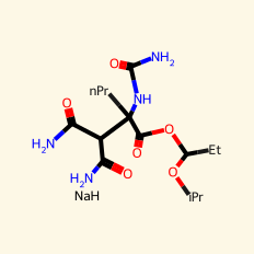 CCCC(NC(N)=O)(C(=O)OC(CC)OC(C)C)C(C(N)=O)C(N)=O.[NaH]